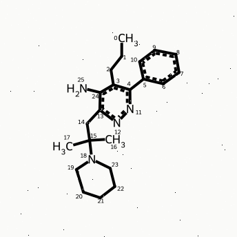 CCCc1c(-c2ccccc2)nnc(CC(C)(C)N2CCCCC2)c1N